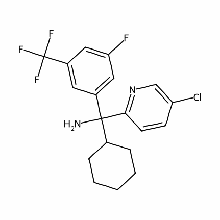 NC(c1cc(F)cc(C(F)(F)F)c1)(c1ccc(Cl)cn1)C1CCCCC1